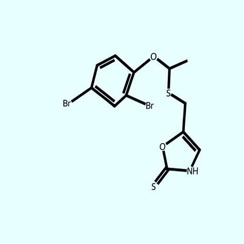 CC(Oc1ccc(Br)cc1Br)SCc1c[nH]c(=S)o1